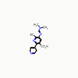 CN(C)/C=N/c1cc(C(=O)O)c(C2=CCN=CC2)nc1C#N